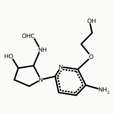 Nc1ccc(N2CCC(O)C2NC=O)nc1OCCO